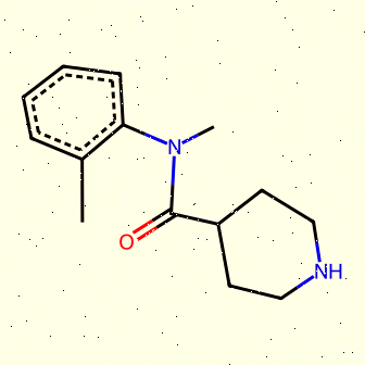 Cc1ccccc1N(C)C(=O)C1CCNCC1